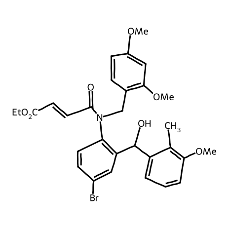 CCOC(=O)/C=C/C(=O)N(Cc1ccc(OC)cc1OC)c1ccc(Br)cc1C(O)c1cccc(OC)c1C